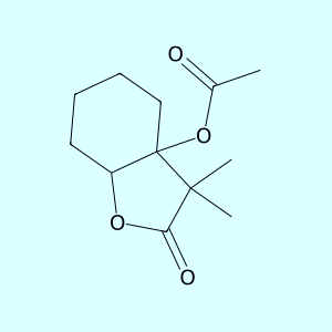 CC(=O)OC12CCCCC1OC(=O)C2(C)C